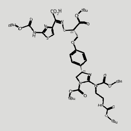 CC(C)(C)OC(=O)NCCN(C(=O)OC(C)(C)C)C1=N[C@@H](c2ccc(OC[C@H](ON=C(C(=O)O)c3csc(NC(=O)OC(C)(C)C)n3)C(=O)OC(C)(C)C)cc2)CN1C(=O)OC(C)(C)C